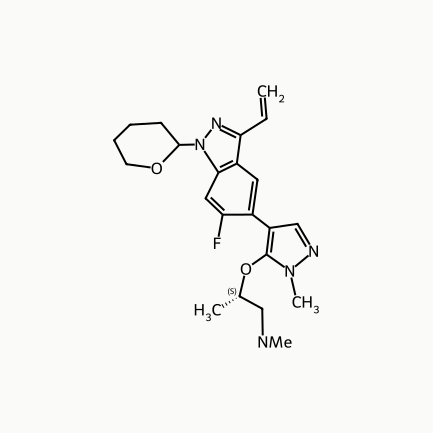 C=Cc1nn(C2CCCCO2)c2cc(F)c(-c3cnn(C)c3O[C@@H](C)CNC)cc12